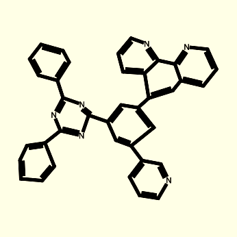 c1ccc(-c2nc(-c3ccccc3)nc(-c3cc(-c4cccnc4)cc(-c4cc5cccnc5c5ncccc45)c3)n2)cc1